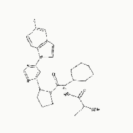 CNC(C)C(=O)N[C@H](C(=O)N1CCCC1c1cc(-n2ccc3cc(F)ccc32)ncn1)C1CCCCC1